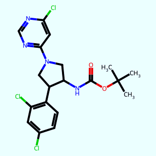 CC(C)(C)OC(=O)NC1CN(c2cc(Cl)ncn2)CC1c1ccc(Cl)cc1Cl